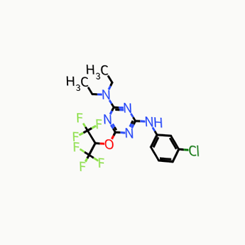 CCN(CC)c1nc(Nc2cccc(Cl)c2)nc(OC(C(F)(F)F)C(F)(F)F)n1